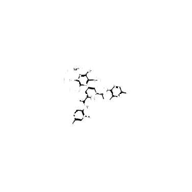 CC(=Nc1ccc(C)cc1C)c1cccc(C(C)=Nc2ccc(C)cc2C)n1.CC(C)c1cc(O)c(O)c(C(=O)[O-])c1C(C)C.[Co+]